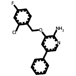 Nc1ncc(-c2ccccc2)cc1OCc1ccc(F)cc1Cl